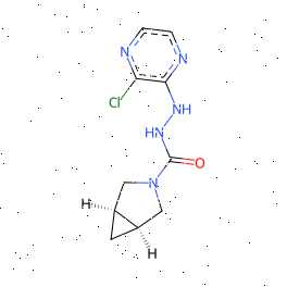 O=C(NNc1nccnc1Cl)N1C[C@H]2C[C@H]2C1